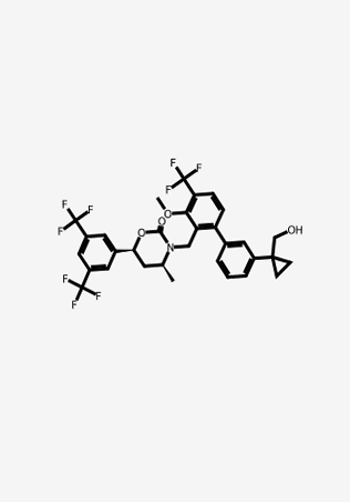 COc1c(C(F)(F)F)ccc(-c2cccc(C3(CO)CC3)c2)c1CN1C(=O)O[C@H](c2cc(C(F)(F)F)cc(C(F)(F)F)c2)C[C@@H]1C